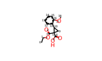 CCOC(=O)C1(C(=O)O)CC1c1ccccc1OC